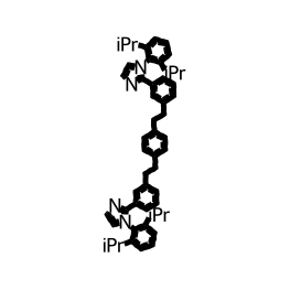 CC(C)c1cccc(C(C)C)c1-n1ccnc1-c1cccc(CCc2ccc(CCc3cccc(-c4nccn4-c4c(C(C)C)cccc4C(C)C)c3)cc2)c1